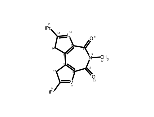 CC(C)[C]1=[V][c]2c(c3[c](c(=O)n(C)c2=O)[U]=[C](C(C)C)C3)C1